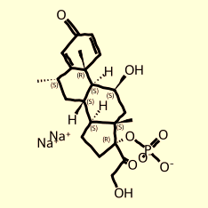 C[C@H]1C[C@@H]2[C@H]([C@@H](O)C[C@@]3(C)[C@H]2CC[C@]3(OP(=O)([O-])[O-])C(=O)CO)[C@@]2(C)C=CC(=O)C=C12.[Na+].[Na+]